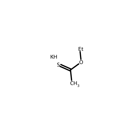 CCOC(C)=S.[KH]